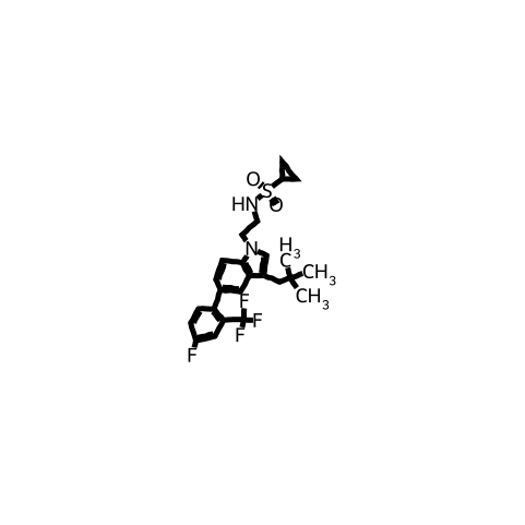 CC(C)(C)Cc1cn(CCNS(=O)(=O)C2CC2)c2ccc(-c3ccc(F)cc3C(F)(F)F)cc12